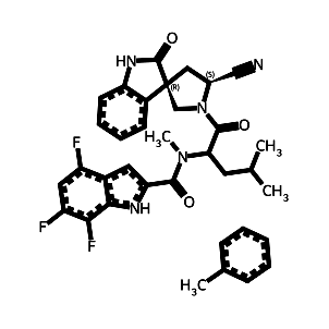 CC(C)CC(C(=O)N1C[C@]2(C[C@H]1C#N)C(=O)Nc1ccccc12)N(C)C(=O)c1cc2c(F)cc(F)c(F)c2[nH]1.Cc1ccccc1